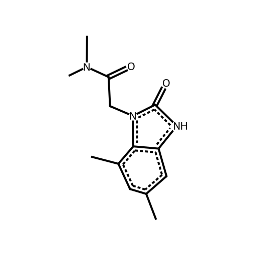 Cc1cc(C)c2c(c1)[nH]c(=O)n2CC(=O)N(C)C